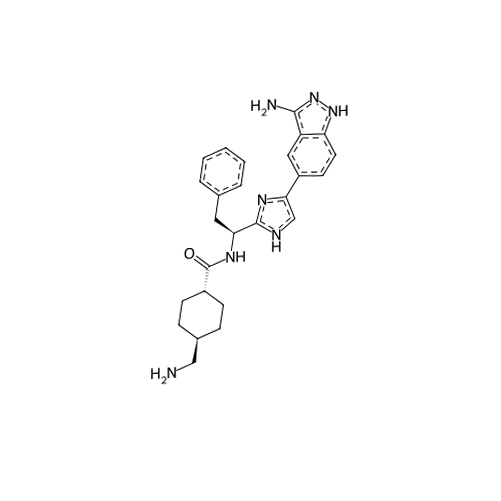 NC[C@H]1CC[C@H](C(=O)N[C@@H](Cc2ccccc2)c2nc(-c3ccc4[nH]nc(N)c4c3)c[nH]2)CC1